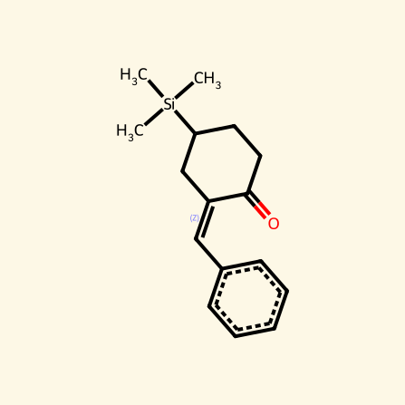 C[Si](C)(C)C1CCC(=O)/C(=C\c2ccccc2)C1